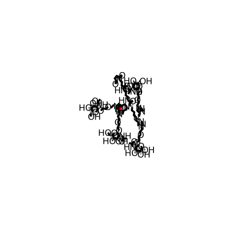 CC(=O)N[C@H]1[C@H](OCCOCCn2cc(CN(CCCC[C@@H](C(=O)NCCCNC(=O)CCN3C(=O)C=CC3=O)N(Cc3cn(CCOCCOC4O[C@H](CO)[C@H](O)[C@H](O)[C@H]4NC(C)=O)nn3)Cc3cn(CCOCCO[C@@H]4O[C@H](CO)[C@H](O)[C@H](O)[C@H]4NC(C)=O)nn3)Cc3cn(CCOCCO[C@@H]4O[C@H](CO)[C@H](O)[C@H](O)[C@H]4NC(C)=O)nn3)nn2)O[C@H](O)[C@H](O)[C@@H]1O